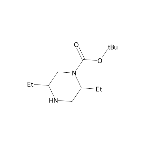 CCC1CN(C(=O)OC(C)(C)C)C(CC)CN1